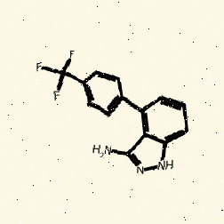 Nc1n[nH]c2cccc(-c3ccc(C(F)(F)F)cc3)c12